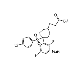 O=C(O)CCC1CCC(c2cc(F)ccc2F)(S(=O)(=O)c2ccc(Cl)cc2)CC1.[NaH]